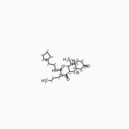 CCCCN(C(=O)NCCN1CCCC1)C(=O)[C@@H]1C[C@@H]2CC(=O)CC[C@H]2N(C)C1